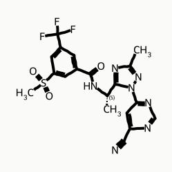 Cc1nc([C@H](C)NC(=O)c2cc(C(F)(F)F)cc(S(C)(=O)=O)c2)n(-c2cc(C#N)ncn2)n1